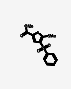 COC(=O)c1cc(S(=O)(=O)c2ccccc2)c(SC)s1